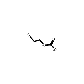 [O]C(=O)OCCBr